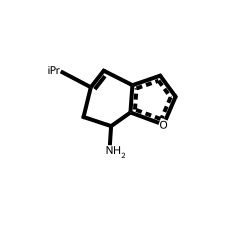 CC(C)C1=Cc2ccoc2C(N)C1